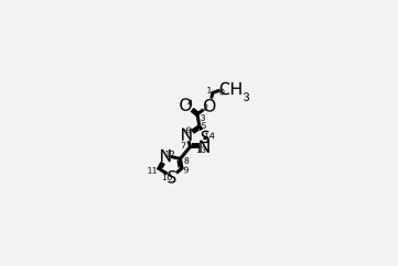 CCOC(=O)c1nc(-c2cscn2)ns1